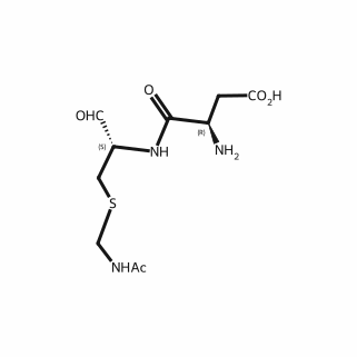 CC(=O)NCSC[C@H](C=O)NC(=O)[C@H](N)CC(=O)O